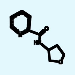 O=C(NC1CCOC1)c1ccccn1